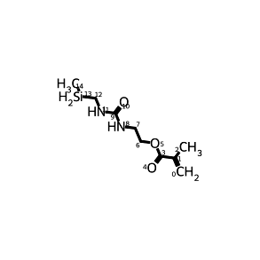 C=C(C)C(=O)OCCNC(=O)NC[SiH2]C